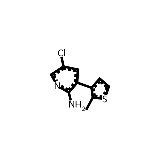 Cc1sccc1-c1cc(Cl)cnc1N